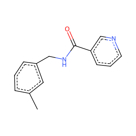 Cc1cccc(CNC(=O)c2cccnc2)c1